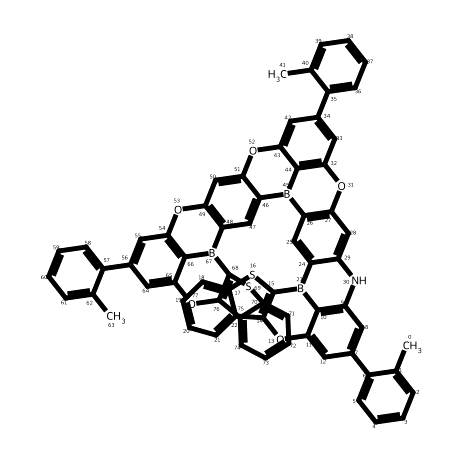 Cc1ccccc1-c1cc2c3c(c1)Oc1c(sc4ccccc14)B3c1cc3c(cc1N2)Oc1cc(-c2ccccc2C)cc2c1B3c1cc3c(cc1O2)Oc1cc(-c2ccccc2C)cc2c1B3c1sc3ccccc3c1O2